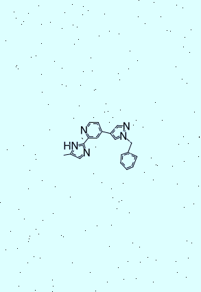 Cc1cnc(-c2cc(-c3cnn(Cc4ccccc4)c3)ccn2)[nH]1